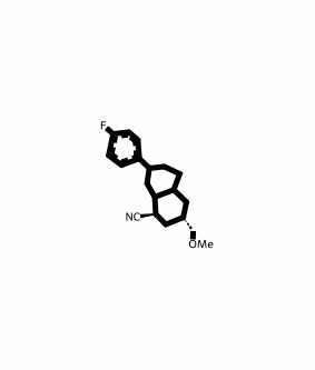 COC[C@H]1CC2CCC(c3ccc(F)cc3)CC2[C@H](C#N)C1